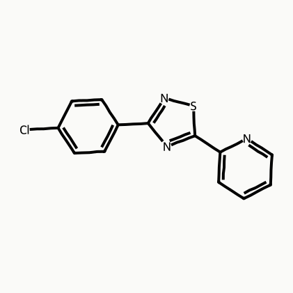 Clc1ccc(-c2nsc(-c3ccccn3)n2)cc1